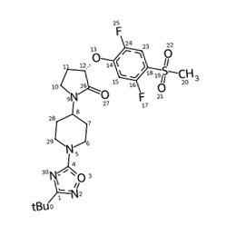 CC(C)(C)c1noc(N2CCC(N3CC[C@H](Oc4cc(F)c(S(C)(=O)=O)cc4F)C3=O)CC2)n1